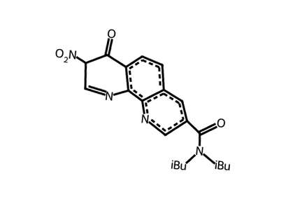 CCC(C)N(C(=O)c1cnc2c3c(ccc2c1)C(=O)C([N+](=O)[O-])C=N3)C(C)CC